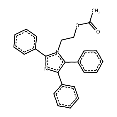 CC(=O)OCCn1c(-c2ccccc2)nc(-c2ccccc2)c1-c1ccccc1